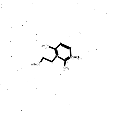 CCCCCCCCCc1c(C(=O)O)cc[n+](C)c1C